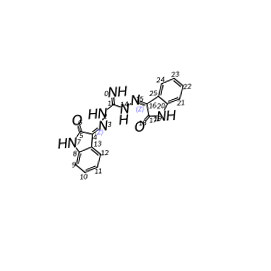 N=C(N/N=C1\C(=O)Nc2ccccc21)N/N=C1\C(=O)Nc2ccccc21